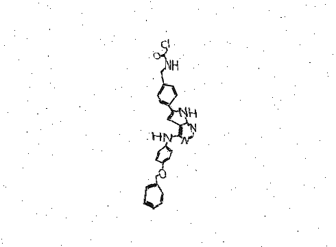 O=C(CCl)NCc1ccc(-c2cc3c(Nc4ccc(OCc5ccccc5)cc4)ncnc3[nH]2)cc1